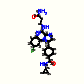 NC(=O)CCNc1nc2ccc(F)cc2n2c(-c3ccc(C(=O)NC4CC4)cc3)cnc12